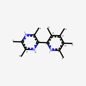 Cc1nc(C)c(-c2nc(C)c(C)c(C)c2C)nc1C